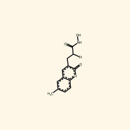 CCC(Cc1cc2cc(C)ccc2oc1=O)C(=O)NO